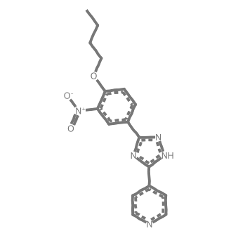 CCCCOc1ccc(-c2n[nH]c(-c3ccncc3)n2)cc1[N+](=O)[O-]